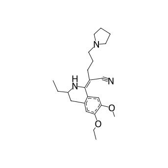 CCOc1cc2c(cc1OC)C(=C(C#N)CCCN1CCCC1)NC(CC)C2